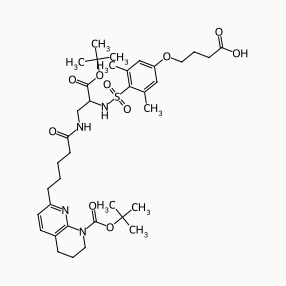 Cc1cc(OCCCC(=O)O)cc(C)c1S(=O)(=O)NC(CNC(=O)CCCCc1ccc2c(n1)N(C(=O)OC(C)(C)C)CCC2)C(=O)OC(C)(C)C